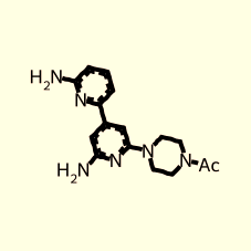 CC(=O)N1CCN(c2cc(-c3cccc(N)n3)cc(N)n2)CC1